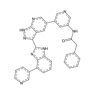 O=C(Cc1ccccc1)Nc1cncc(-c2cnc3[nH]nc(-c4nc5c(-c6cccnc6)cccc5[nH]4)c3c2)c1